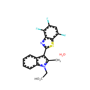 Cc1c(-c2nc3c(F)c(F)cc(F)c3s2)c2ccccc2n1CC(=O)O.O